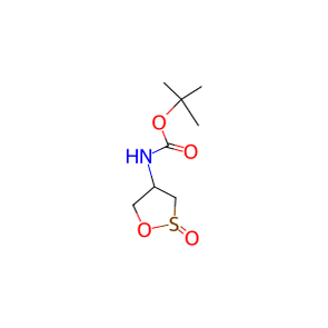 CC(C)(C)OC(=O)NC1COS(=O)C1